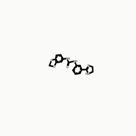 O=C(Nc1cccc(C2=NCCN2)c1)Nc1ccc2c(c1)OCO2